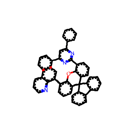 c1ccc(-c2cc(-c3ccccc3)nc(-c3cccc4c3Oc3c(-c5cccc6cccnc56)cccc3C43c4ccccc4-c4ccccc43)n2)cc1